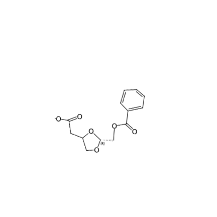 [O]C(=O)CC1CO[C@@H](COC(=O)c2ccccc2)O1